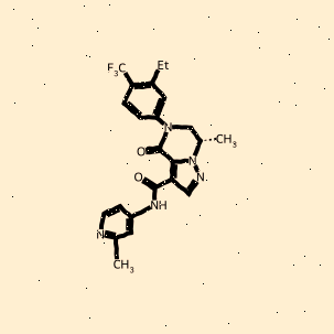 CCc1cc(N2C[C@H](C)n3ncc(C(=O)Nc4ccnc(C)c4)c3C2=O)ccc1C(F)(F)F